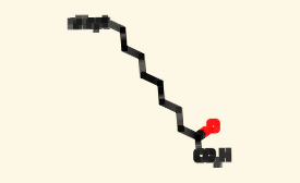 CCCCCCCCCCCCCCCC(=O)C(=O)O